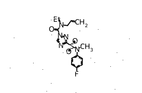 C=CCN(CC)C(=O)n1cnc(S(=O)(=O)N(C)c2ccc(F)cc2)n1